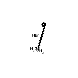 Br.CN(C)CCCCCCCCCCCCCCCc1ccccc1